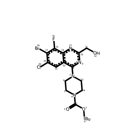 CC(C)(C)OC(=O)N1CCN(c2nc(CO)nc3c(F)c(Br)c(Cl)cc23)CC1